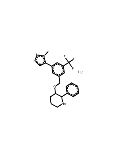 Cl.Cn1nncc1-c1cc(COC2CCCNC2c2ccccc2)cc(C(F)(F)F)c1